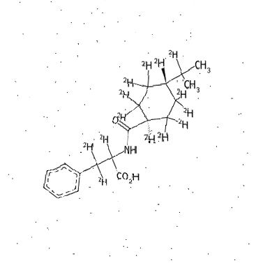 [2H]C(NC(=O)[C@]1([2H])C([2H])([2H])C([2H])([2H])[C@@]([2H])(C([2H])(C)C)C([2H])([2H])C1([2H])[2H])(C(=O)O)C([2H])([2H])c1ccccc1